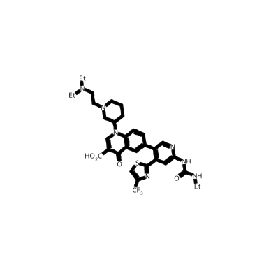 CCNC(=O)Nc1cc(-c2nc(C(F)(F)F)cs2)c(-c2ccc3c(c2)c(=O)c(C(=O)O)cn3C2CCCN(CCN(CC)CC)C2)cn1